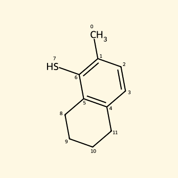 Cc1ccc2c(c1S)CCCC2